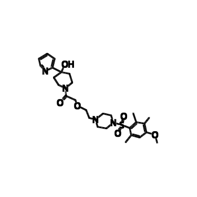 COc1cc(C)c(S(=O)(=O)N2CCN(CCOCC(=O)N3CCC(O)(c4ccccn4)CC3)CC2)c(C)c1C